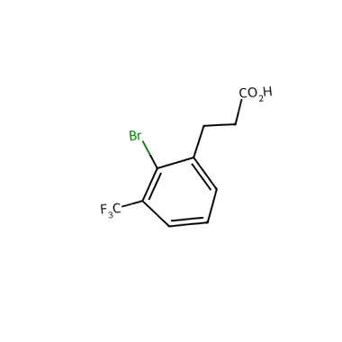 O=C(O)CCc1cccc(C(F)(F)F)c1Br